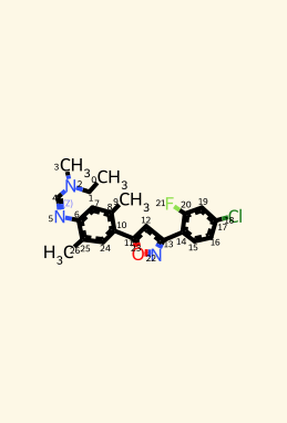 CCN(C)/C=N\c1cc(C)c(-c2cc(-c3ccc(Cl)cc3F)no2)cc1C